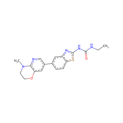 CCNC(=O)Nc1nc2cc(-c3cnc4c(c3)OCCN4C)ccc2s1